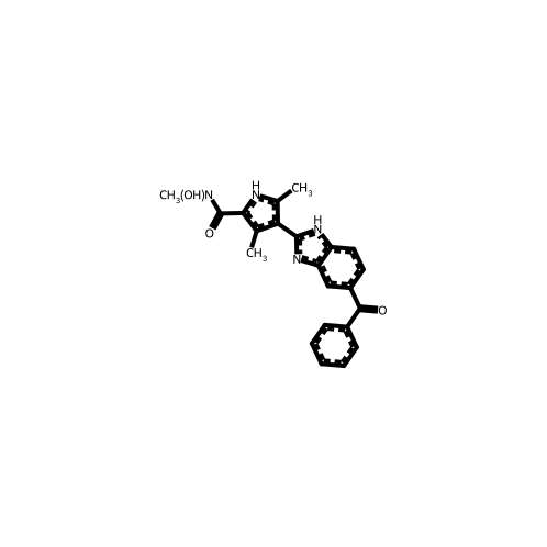 Cc1[nH]c(C(=O)N(C)O)c(C)c1-c1nc2cc(C(=O)c3ccccc3)ccc2[nH]1